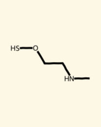 CNCCOS